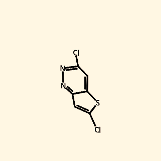 Clc1cc2sc(Cl)cc2nn1